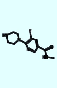 CNC(=O)c1cnc(N2CCNCC2)c(F)c1